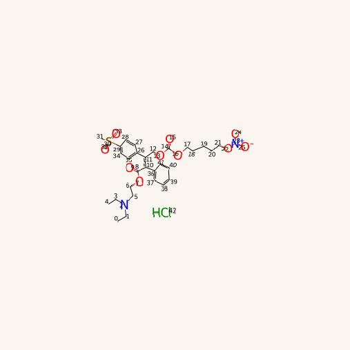 CCN(CC)CCOC(=O)C(=C(COC(=O)OCCCCCO[N+](=O)[O-])c1ccc(S(C)(=O)=O)cc1)c1ccccc1.Cl